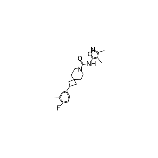 Cc1cc(C2CC3(CCN(C(=O)Nc4onc(C)c4C)CC3)C2)ccc1F